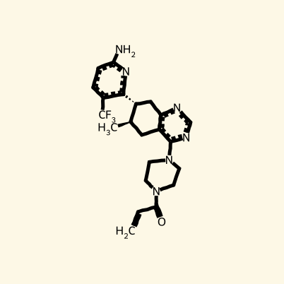 C=CC(=O)N1CCN(c2ncnc3c2C[C@@H](C)[C@H](c2nc(N)ccc2C(F)(F)F)C3)CC1